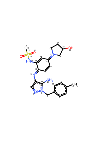 Cc1ccc(Cn2ncc(N=C3C=CC(=[N+]4CCC(O)C4)C=C3NS(C)(=O)=O)c2N)cc1